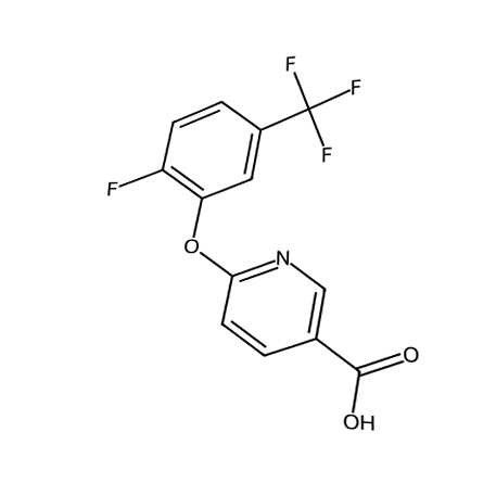 O=C(O)c1ccc(Oc2cc(C(F)(F)F)ccc2F)nc1